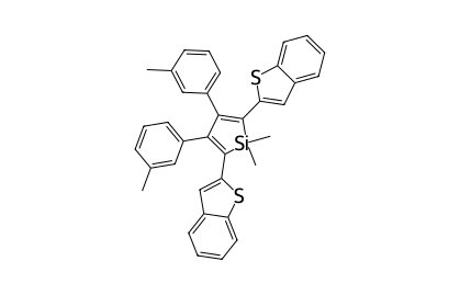 Cc1cccc(C2=C(c3cc4ccccc4s3)[Si](C)(C)C(c3cc4ccccc4s3)=C2c2cccc(C)c2)c1